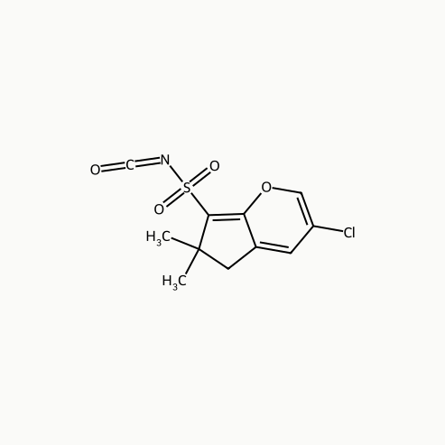 CC1(C)CC2=CC(Cl)=COC2=C1S(=O)(=O)N=C=O